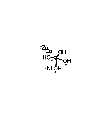 O[Si](O)(O)O.[Co].[Ni].[Zn]